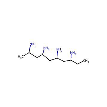 CCC(N)CC(N)CC(N)CC(C)N